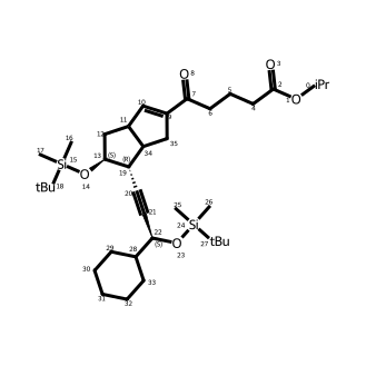 CC(C)OC(=O)CCCC(=O)C1=CC2C[C@H](O[Si](C)(C)C(C)(C)C)[C@@H](C#C[C@@H](O[Si](C)(C)C(C)(C)C)C3CCCCC3)C2C1